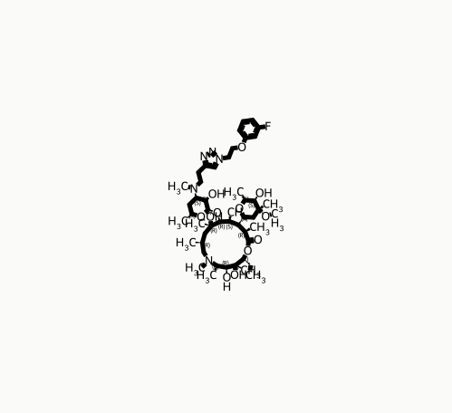 CC[C@H]1OC(=O)[C@H](C)C([C@H]2C[C@@](C)(OC)[C@@H](O)[C@H](C)O2)[C@H](C)[C@@H](O[C@@H]2O[C@H](C)C[C@H](N(C)CCc3cn(CCOc4cccc(F)c4)nn3)[C@H]2O)[C@](C)(O)C[C@@H](C)CN(C)[C@H](C)[C@@H](O)[C@]1(C)O